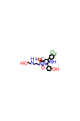 C[C@@]12Cc3c([nH]c4cc(F)c(Cl)cc34)[C@@H](c3cccc(O)c3)N1C(=O)N(CCCNCCO)C2=O